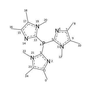 Cc1nc(P(c2nc(C)c(C)n2C)c2nc(C)c(C)n2C)n(C)c1C